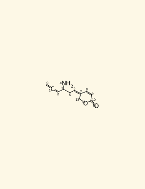 C=C=CC(N)C/C=C1/C=CC(=O)OC1